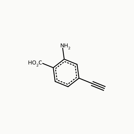 C#Cc1ccc(C(=O)O)c(N)c1